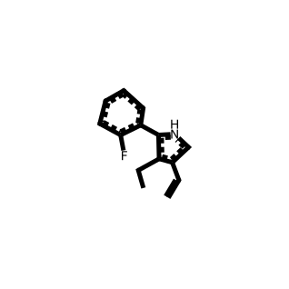 C=Cc1c[nH]c(-c2ccccc2F)c1CC